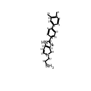 Cc1ccc(-c2ccc(-c3nc4c([nH]3)C=CN(CCN)C4)cc2)cc1C